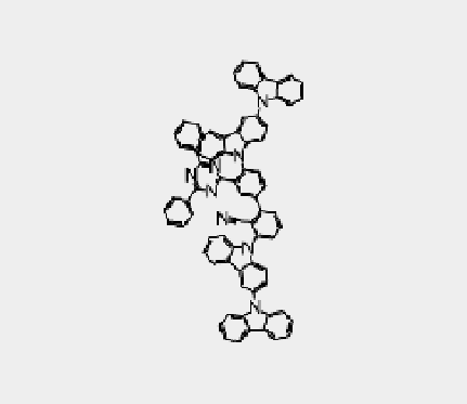 N#Cc1c(-c2ccc(-n3c4ccccc4c4cc(-n5c6ccccc6c6ccccc65)ccc43)c(-c3nc(-c4ccccc4)nc(-c4ccccc4)n3)c2)cccc1-n1c2ccccc2c2cc(-n3c4ccccc4c4ccccc43)ccc21